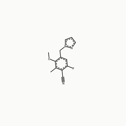 COc1c(Cn2cccn2)cc(F)c(C#N)c1C